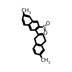 Cc1ccc2c(c1)CC1=C(C2)c2cc3ccc(C)cc3cc2S(=O)O1